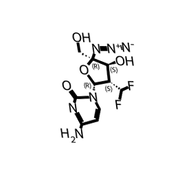 [N-]=[N+]=N[C@]1(CO)O[C@@H](n2ccc(N)nc2=O)[C@@H](C(F)F)[C@@H]1O